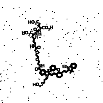 CC[N+]1=C(/C=C/C2=C(Oc3ccccc3)C(=C/C=C3/N(CCCS(=O)(=O)O)c4ccc(C(=O)NCCOCCOCC(=O)NCCCC[C@H](NC(=O)N[C@@H](CCC(=O)O)C(=O)O)C(=O)O)cc4C3(C)C)/CCC2)C(C)(C)c2ccccc21